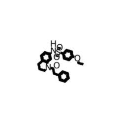 CCOc1ccc(S(=O)(=O)Nc2ccc3c(c2)N(C(=O)Cc2ccccc2)CCC3)cc1